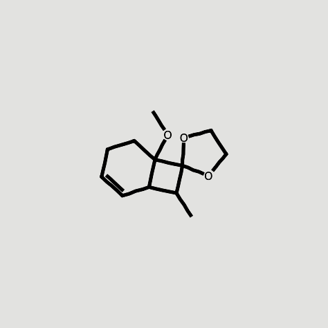 COC12CCC=CC1C(C)C21OCCO1